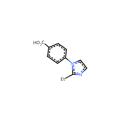 CCc1nccn1-c1ccc(C(=O)O)cc1